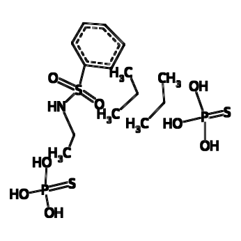 CCC.CCC.CCNS(=O)(=O)c1ccccc1.OP(O)(O)=S.OP(O)(O)=S